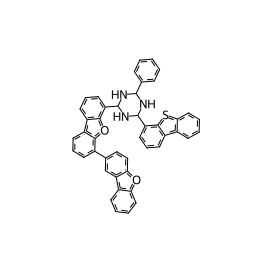 c1ccc(C2NC(c3cccc4c3oc3c(-c5ccc6oc7ccccc7c6c5)cccc34)NC(c3cccc4c3sc3ccccc34)N2)cc1